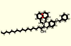 CCCCCCCCCCCCCCC[C@@H](O)[C@H](Cc1ccc(OCc2ccccc2)cc1)N(Cc1ccccc1)Cc1ccccc1